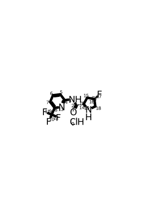 Cl.O=C(Nc1cccc(C(F)(F)F)n1)[C@@H]1C[C@@H](F)CN1